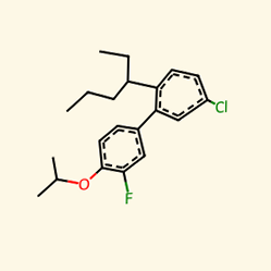 CCCC(CC)c1ccc(Cl)cc1-c1ccc(OC(C)C)c(F)c1